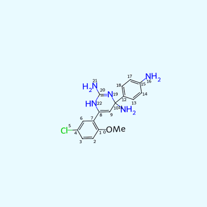 COc1ccc(Cl)cc1C1=CC(N)(c2ccc(N)cc2)N=C(N)N1